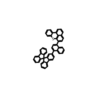 c1ccc2c(c1)Sc1c(-c3ccc(-c4ccc5c(c4)C4(c6ccccc6-c6ccccc64)c4ccccc4-5)c4ccccc34)ccc3cccc-2c13